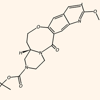 COc1nc2cc3c(cc2cc1C)OCC[C@H]1CN(C(=O)OC(C)(C)C)CCN1C3=O